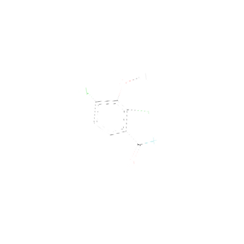 O=C(F)c1ccc(Cl)c(OC(F)(F)F)c1Cl